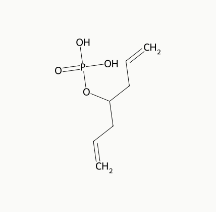 C=CCC(CC=C)OP(=O)(O)O